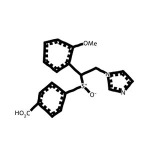 COc1ccccc1C(Cn1ccnc1)[S+]([O-])c1ccc(C(=O)O)cc1